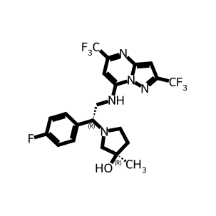 C[C@@]1(O)CCN([C@@H](CNc2cc(C(F)(F)F)nc3cc(C(F)(F)F)nn23)c2ccc(F)cc2)C1